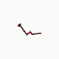 CCCCCCCCCCC/C=C\CC1OC1CCC1OC1CCCCCCCCCCCCC1=C[C@H](C)OC1=O